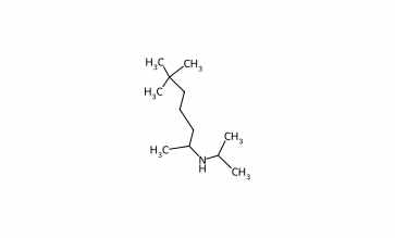 CC(C)NC(C)CCCC(C)(C)C